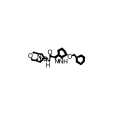 CCCCN1C2COCC1CC(NC(=O)c1n[nH]c3c(OCc4ccccc4)cccc13)C2